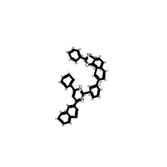 c1ccc(-c2cc(-c3ccc4ccccc4c3)nc(-c3cccc(-c4ccc5ccc6nc(-c7ccccc7)oc6c5c4)c3)n2)cc1